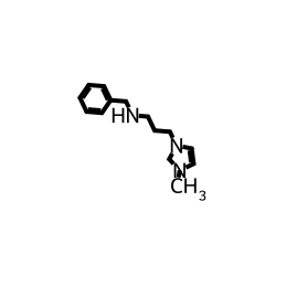 CN1C=CN(CCCNCc2ccccc2)C1